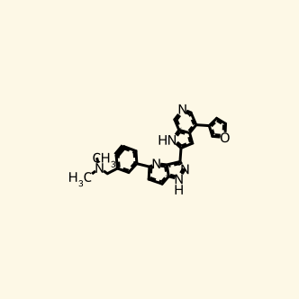 CN(C)Cc1c#ccc(-c2ccc3[nH]nc(-c4cc5c(-c6ccoc6)cncc5[nH]4)c3n2)c1